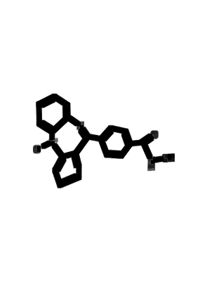 O=C(NO)c1ccc(C2=Nc3ccccc3[S+]([O-])c3ccccc32)cc1